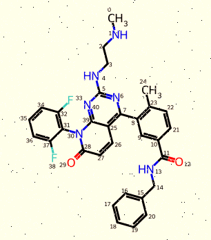 CNCCNc1nc(-c2cc(C(=O)NCc3ccccc3)ccc2C)c2ccc(=O)n(-c3c(F)cccc3F)c2n1